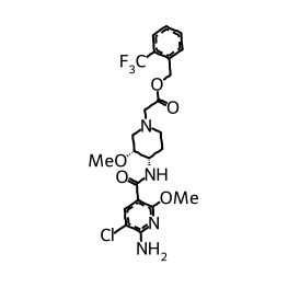 COc1nc(N)c(Cl)cc1C(=O)N[C@H]1CCN(CC(=O)OCc2ccccc2C(F)(F)F)C[C@H]1OC